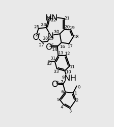 Cc1ccccc1C(=O)Nc1ccc(C(=O)C2CC=CC3=CNC=C4COCCN4C32)c(C)c1